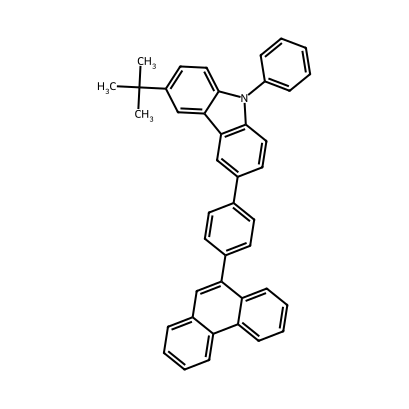 CC(C)(C)c1ccc2c(c1)c1cc(-c3ccc(-c4cc5ccccc5c5ccccc45)cc3)ccc1n2-c1ccccc1